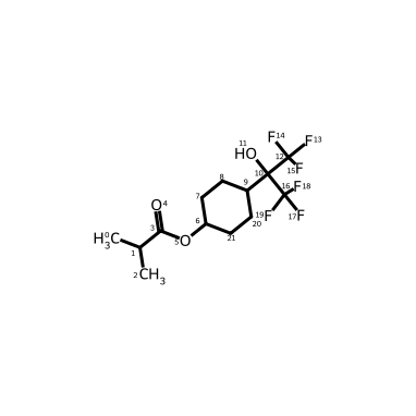 CC(C)C(=O)OC1CCC(C(O)(C(F)(F)F)C(F)(F)F)CC1